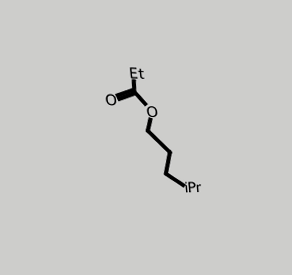 CCC(=O)OCCCC(C)C